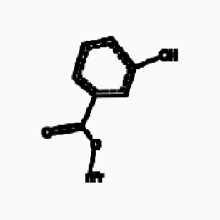 CCCOC(=O)c1cccc(O)c1